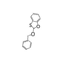 c1ccc(COC2Oc3ccccc3S2)cc1